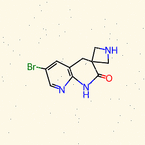 O=C1Nc2ncc(Br)cc2CC12CNC2